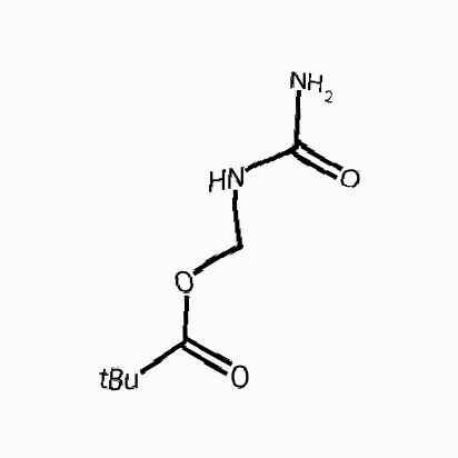 CC(C)(C)C(=O)OCNC(N)=O